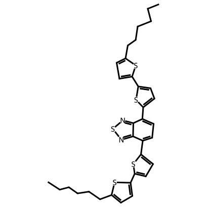 CCCCCCc1ccc(-c2ccc(-c3ccc(-c4ccc(-c5ccc(CCCCCC)s5)s4)c4nsnc34)s2)s1